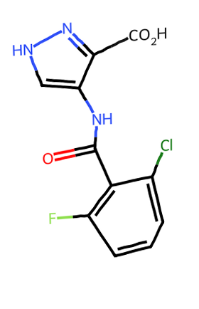 O=C(O)c1n[nH]cc1NC(=O)c1c(F)cccc1Cl